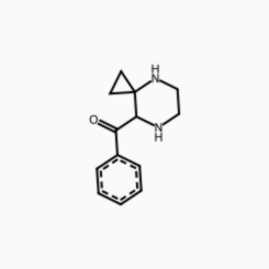 O=C(c1ccccc1)C1NCCNC12CC2